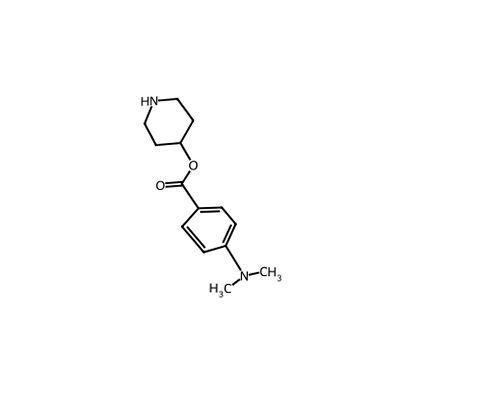 CN(C)c1ccc(C(=O)OC2CCNCC2)cc1